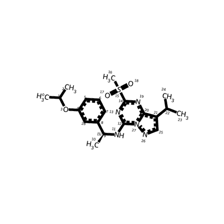 CC(C)Oc1cccc([C@H](C)Nc2nc(S(C)(=O)=O)nc3c(C(C)C)cnn23)c1